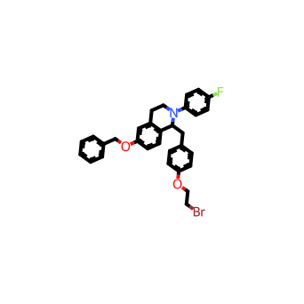 Fc1ccc(N2CCc3cc(OCc4ccccc4)ccc3C2Cc2ccc(OCCBr)cc2)cc1